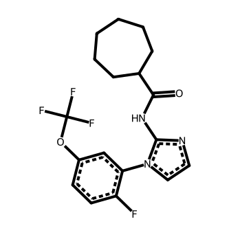 O=C(Nc1nccn1-c1cc(OC(F)(F)F)ccc1F)C1CCCCCC1